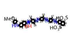 COc1ccc(Nc2ccc3c(O)c(N=Nc4cc(C)c(N=Nc5ccc(N=Nc6ccc(N=Nc7cc8c(S(=O)(=O)O)cccc8cc7S(=O)(=O)O)c(C)c6)c(C)c5)cc4C)ccc3c2)cc1